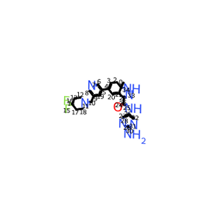 CC12CC=C(c3cncc(CN4CCC(F)(F)CC4)c3)C=C1C(C(=O)Nc1cnc(N)nc1)=NN2